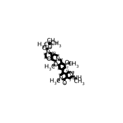 CNc1cc2c(=O)n(C)cc(-c3cc(OC)c(CN4CCC5(CC4)CN(C(=O)OC(C)(C)C)CCO5)c(OC)c3)c2cn1